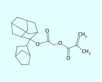 C=C(C)C(=O)OCC(=O)OC1(C2CC3CCC2C3)C2CC3CC(C2)CC1C3